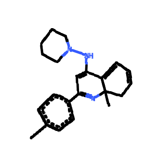 Cc1ccc(C2=NC3(C)CC=CC=C3C(NN3CCCCC3)=C2)cc1